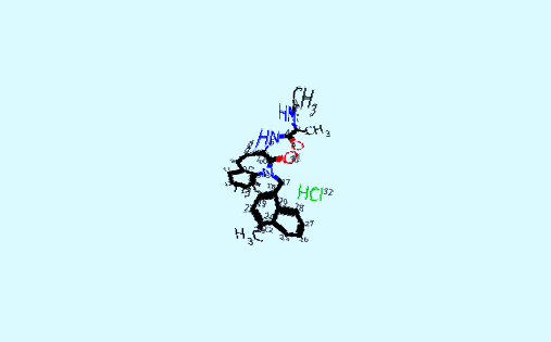 CN[C@@H](C)C(=O)N[C@H]1CCc2ccccc2N(Cc2c(C)cc(C)c3ccccc23)C1=O.Cl